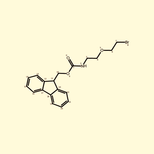 O=C(NCCOCCBr)OCC1c2ccccc2-c2ccccc21